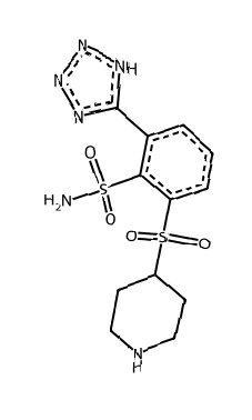 NS(=O)(=O)c1c(-c2nnn[nH]2)cccc1S(=O)(=O)C1CCNCC1